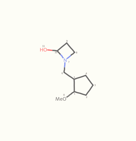 COC1CCCC1CN1CCC1O